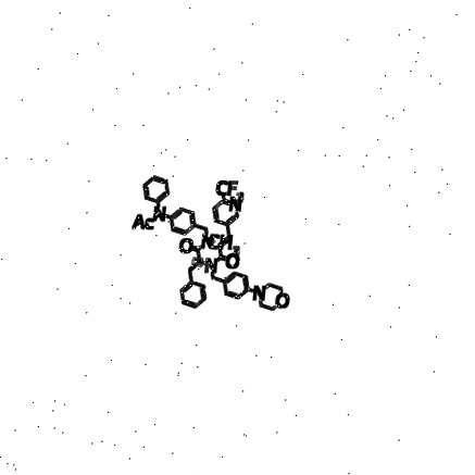 CC(=O)N(c1ccccc1)c1ccc(CN(C)C(=O)[C@H](Cc2ccccc2)N(Cc2ccc(N3CCOCC3)cc2)C(=O)C=Cc2ccc(C(F)(F)F)nc2)cc1